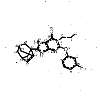 CCCn1c(Oc2cccc(F)c2)nc2nc(C34CC5C=C3CC(C5)C4)[nH]c2c1=O